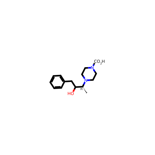 C[C@H](C(O)Cc1ccccc1)N1CCN(C(=O)O)CC1